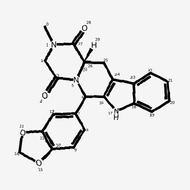 CN1CC(=O)N2C(c3ccc4c(c3)OCO4)c3[nH]c4ccccc4c3C[C@H]2C1=O